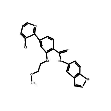 COCCNc1cc(-c2ncccc2Cl)ccc1C(=O)Nc1ccc2[nH]ncc2c1